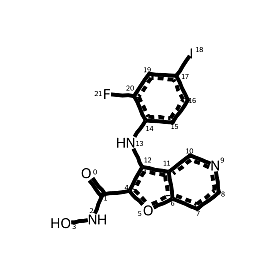 O=C(NO)c1oc2ccncc2c1Nc1ccc(I)cc1F